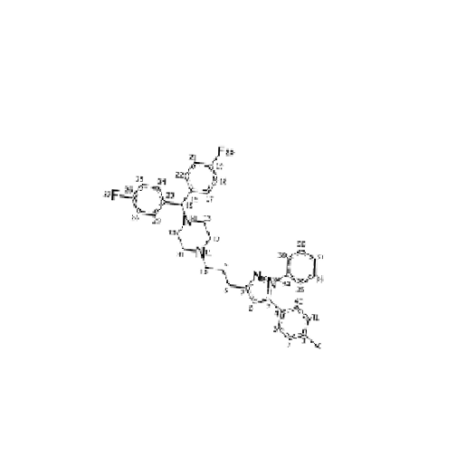 Cc1ccc(-c2cc(CCCN3CCN(C(c4ccc(F)cc4)c4ccc(F)cc4)CC3)nn2-c2ccccc2)cc1